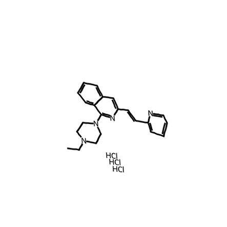 CCN1CCN(c2nc(C=Cc3ccccn3)cc3ccccc23)CC1.Cl.Cl.Cl